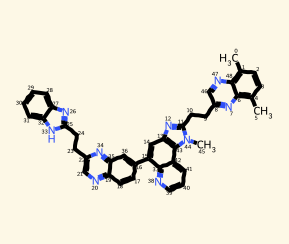 Cc1ccc(C)c2nc(CCc3nc4cc(-c5ccc6ncc(CCc7nc8ccccc8[nH]7)nc6c5)c5ncccc5c4n3C)cnc12